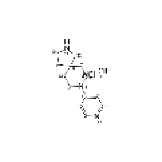 Cl.Cl.c1cc(N2CCC3(CCNC3)CC2)ccn1